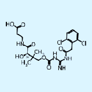 CC(C)(COC(=O)NC(=N)NC(=O)Cc1c(Cl)cccc1Cl)[C@@H](O)C(=O)NCCC(=O)O